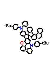 CC(C)(C)c1ccc(N(c2ccccc2)c2ccc3c(c2)C2(c4ccccc4-c4c2ccc2ccc5ccccc5c42)c2cc(N(c4ccccc4)c4ccc(C(C)(C)C)cc4)c4c(oc5ccccc54)c2-3)cc1